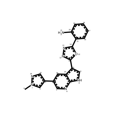 Cn1cc(-c2cnc3[nH]cc(-c4nnc(-c5ccccc5N)o4)c3c2)cn1